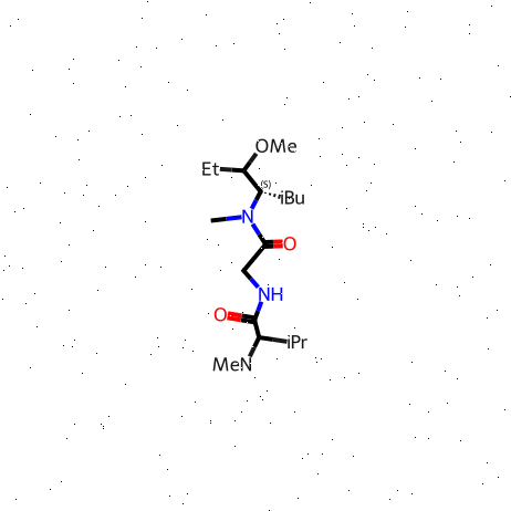 CCC(C)[C@@H](C(CC)OC)N(C)C(=O)CNC(=O)C(NC)C(C)C